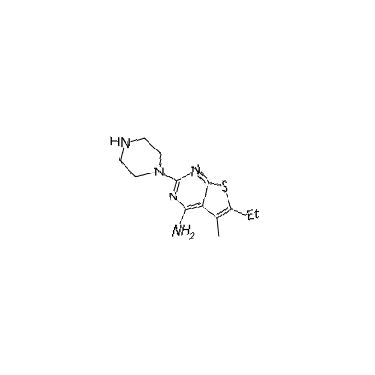 CCc1sc2nc(N3CCNCC3)nc(N)c2c1C